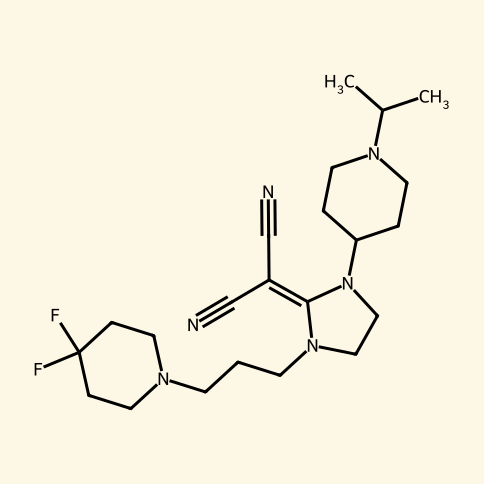 CC(C)N1CCC(N2CCN(CCCN3CCC(F)(F)CC3)C2=C(C#N)C#N)CC1